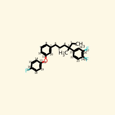 CCC(C)(CCCc1cccc(Oc2ccc(F)cc2)c1)c1ccc(F)c(F)c1